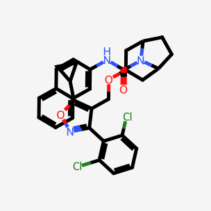 O=C(Nc1ccc2ccccc2c1)N1C2CCC1CC(OCc1c(-c3c(Cl)cccc3Cl)noc1C1CC1)C2